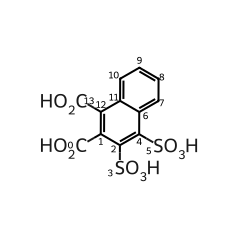 O=C(O)c1c(S(=O)(=O)O)c(S(=O)(=O)O)c2ccccc2c1C(=O)O